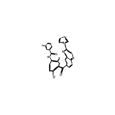 O=C(Nc1ccc(Cl)c(C(=O)c2ccc3ncc(-n4ccnc4)nc3c2)c1F)c1cccc(F)c1